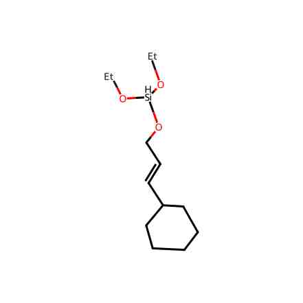 CCO[SiH](OCC)OCC=CC1CCCCC1